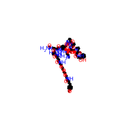 CC[C@H](C)[C@@H]([C@@H](CC(=O)N1CCC[C@H]1[C@H](OC)[C@@H](C)C(=O)N[C@H](C)[C@@H](O)c1ccccc1)OC)N(C)C(=O)[C@@H](NC(=O)[C@H](C(C)C)N(C)C(=O)OCc1ccc(NC(=O)[C@H](CCCNC(N)=O)NC(=O)[C@@H](NC(=O)[C@@H](N)CCC(=O)NCCOCCOCCOCCNC(=O)CCCc2ccc(OC)cc2)C(C)C)cc1C(=O)NCCCN(C)C)C(C)C